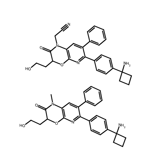 CN1C(=O)C(CCO)Oc2nc(-c3ccc(C4(N)CCC4)cc3)c(-c3ccccc3)cc21.N#CCN1C(=O)C(CCO)Oc2nc(-c3ccc(C4(N)CCC4)cc3)c(-c3ccccc3)cc21